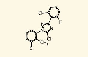 Cc1c(Cl)cccc1-n1nc(-c2c(F)cccc2Cl)nc1Cl